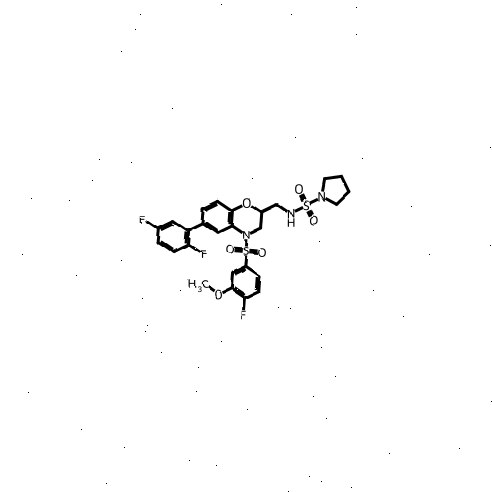 COc1cc(S(=O)(=O)N2CC(CNS(=O)(=O)N3CCCC3)Oc3ccc(-c4cc(F)ccc4F)cc32)ccc1F